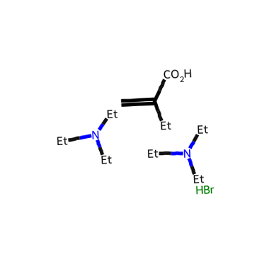 Br.C=C(CC)C(=O)O.CCN(CC)CC.CCN(CC)CC